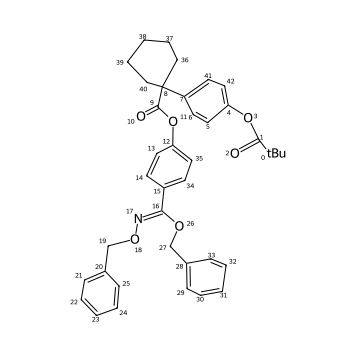 CC(C)(C)C(=O)Oc1ccc(C2(C(=O)Oc3ccc(C(=NOCc4ccccc4)OCc4ccccc4)cc3)CCCCC2)cc1